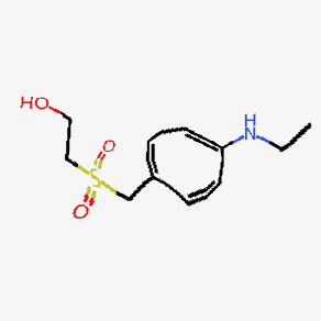 CCNc1ccc(CS(=O)(=O)CCO)cc1